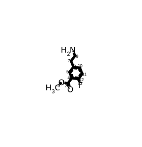 COC(=O)c1cc(CCN)ccc1F